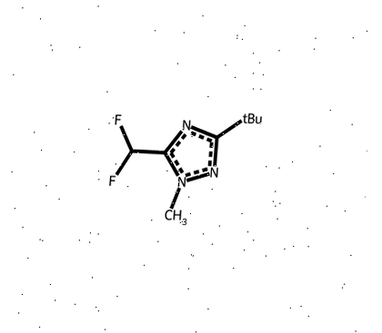 Cn1nc(C(C)(C)C)nc1C(F)F